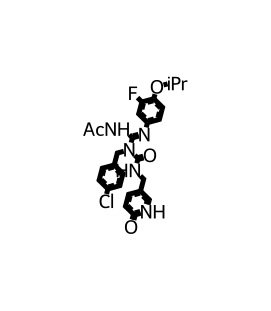 CC(=O)N/C(=N\c1ccc(OC(C)C)c(F)c1)N(Cc1ccc(Cl)cc1)C(=O)NCc1ccc(=O)[nH]c1